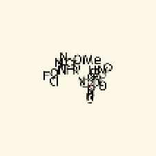 COc1cc2ncnc(Nc3ccc(F)c(Cl)c3)c2cc1OCCCN1CCC(CN2CC3CCC(C2)N3c2ccc3c(c2)C(=O)N(C2CCC(=O)NC2=O)C3=O)CC1